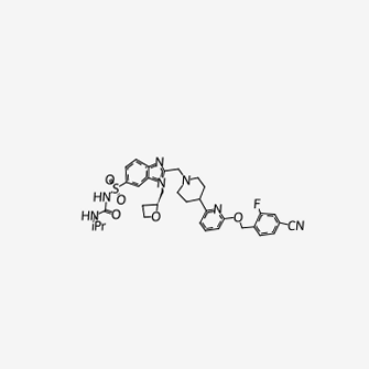 CC(C)NC(=O)NS(=O)(=O)c1ccc2nc(CN3CCC(c4cccc(OCc5ccc(C#N)cc5F)n4)CC3)n(C[C@@H]3CCO3)c2c1